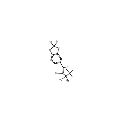 [2H]/C(=C(/[2H])C([2H])(O)C(C)(C)C)c1ccc2c(c1)OC([2H])([2H])O2